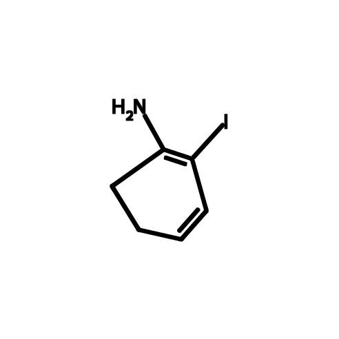 NC1=C(I)C=CCC1